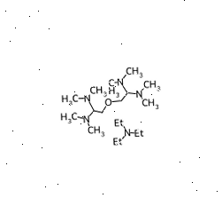 CCN(CC)CC.CN(C)C(COCC(N(C)C)N(C)C)N(C)C